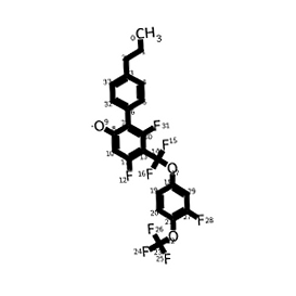 CCCc1ccc(-c2c([O])cc(F)c(C(F)(F)Oc3ccc(OC(F)(F)F)c(F)c3)c2F)cc1